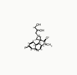 CN1C(=O)C2(CN(CC(O)CO)C2)c2c1cnc1cc(F)ccc21